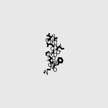 CC[C@H](C)[C@@H]([C@@H](CC(=O)N1CCC[C@H]1[C@H](OC)[C@@H](C)C(=O)N[C@@H](Cc1ccccc1)C(=O)NCCN(C)C)OC)N(C)C(=O)[C@@H](NC(=O)C(C(C)C)N(C)C(C)C)C(C)C